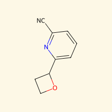 N#Cc1cccc(C2CCO2)n1